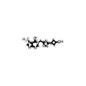 Cn1cnc2ncn(Cc3nc(C4CC(O)C4)no3)c(=O)c21